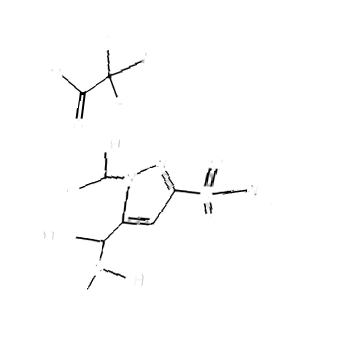 CC(c1cc(S(N)(=O)=O)nn1C(C)C)N(C)C.O=C(O)C(F)(F)F